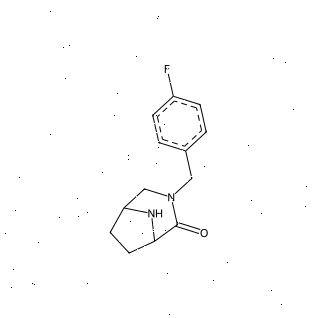 O=C1C2CCC(CN1Cc1ccc(F)cc1)N2